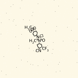 C=C1N(c2ccc(C#N)c(C(F)(F)F)c2)C(=O)C2(CCC2)N1c1ccc(S(C)(=O)=O)cc1